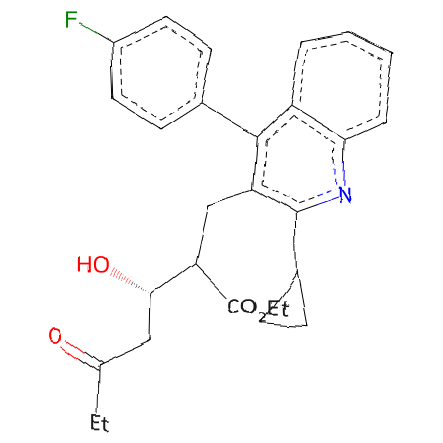 CCOC(=O)C(Cc1c(C2CC2)nc2ccccc2c1-c1ccc(F)cc1)[C@@H](O)CC(=O)CC